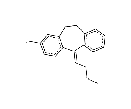 COC/C=C1\c2ccccc2CCc2cc(Cl)ccc21